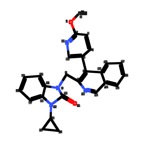 CCCCOc1ccc(-c2c(Cn3c(=O)n(C4CC4)c4ccccc43)ncc3ccccc23)cn1